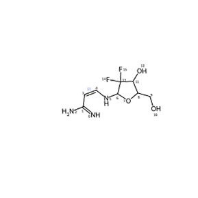 N=C(N)/C=C\NC1OC(CO)C(O)C1(F)F